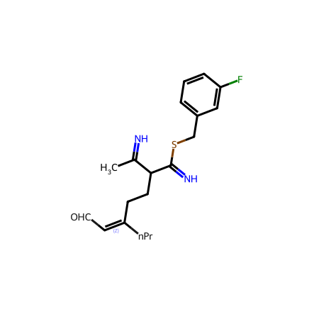 CCC/C(=C/C=O)CCC(C(C)=N)C(=N)SCc1cccc(F)c1